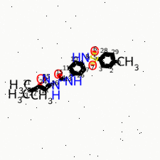 Cc1ccc(S(=O)(=O)Nc2ccc(NC(=O)Nc3cc(C(C)(C)C)on3)cc2)cc1